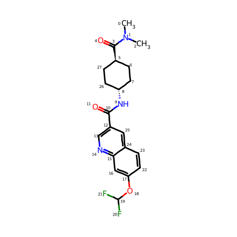 CN(C)C(=O)[C@H]1CC[C@H](NC(=O)c2cnc3cc(OC(F)F)ccc3c2)CC1